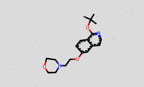 CC(C)(C)Oc1nccc2cc(OCCN3CCOCC3)ccc12